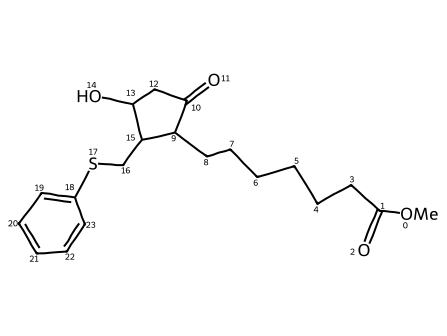 COC(=O)CCCCCCC1C(=O)CC(O)C1CSc1ccccc1